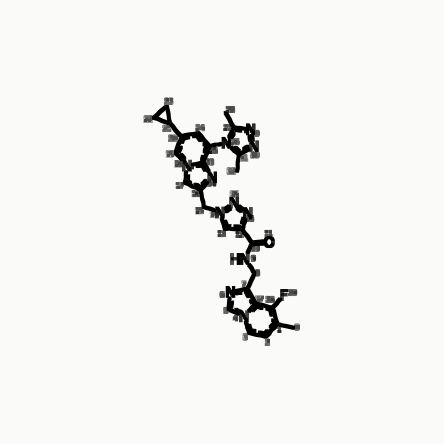 Cc1ccn2cnc(CNC(=O)c3cn(Cc4cn5cc(C6CC6)cc(-n6c(C)nnc6C)c5n4)nn3)c2c1F